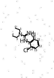 CCN(CC)C(=N)Nc1c(Cl)cccc1Cl